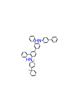 CC1(Nc2ccc(-c3ccc(Nc4ccc(-c5ccccc5)cc4)c(-c4ccccc4)c3)cc2-c2ccccc2)C=CC(C2(C)C=CC=CC2)=CC1